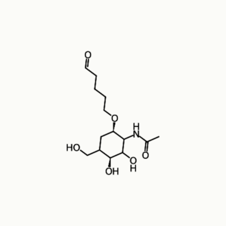 CC(=O)NC1C(O)[C@@H](O)C(CO)C[C@H]1OCCCCC=O